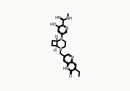 CCc1cc2ncc(CN3CCN(c4cnc(C(=N)NC)c(O)c4)[C@H]4CC[C@@H]43)cc2[nH]c1=O